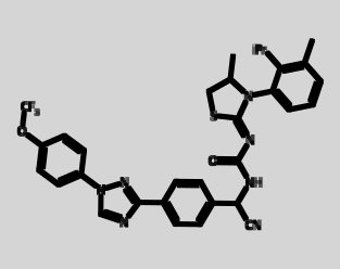 Cc1cccc(N2/C(=N/C(=O)NC(C#N)c3ccc(-c4ncn(-c5ccc(OC(F)(F)F)cc5)n4)cc3)SCC2C)c1C(C)C